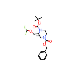 CC(C)(C)OC(=O)N1CCN(C(=O)OCc2ccccc2)C[C@H]1COC(F)F